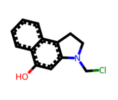 Oc1cc2c(c3ccccc13)CCN2CCl